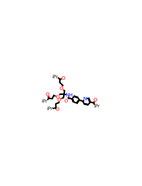 CC(C)C(=O)CCOCC(COCCC(=O)C(C)C)(COCCC(=O)C(C)C)NC(=O)c1ccc(-c2ccc(C(=O)C(C)C)cn2)cc1